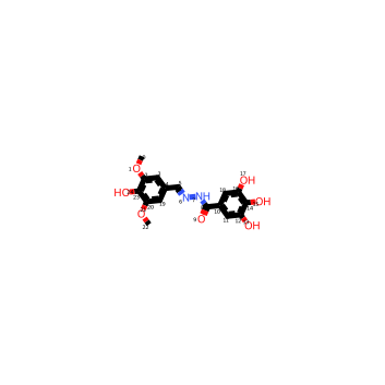 COc1cc(/C=N/NC(=O)c2cc(O)c(O)c(O)c2)cc(OC)c1O